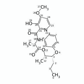 CCC[C@@H](Oc1ccccc1)[C@H](C)OC(=O)[C@H](C)NC(=O)c1nccc(OC)c1O